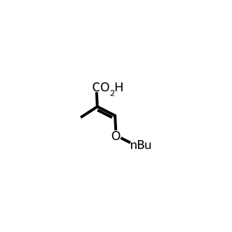 [CH2]CCCOC=C(C)C(=O)O